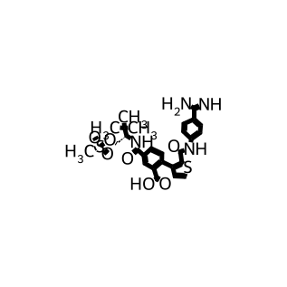 CC(C)(C)[C@@H](COS(C)(=O)=O)NC(=O)c1ccc(-c2ccsc2C(=O)Nc2ccc(C(=N)N)cc2)c(C(=O)O)c1